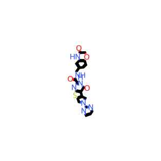 O=C1COc2ccc(CNC(=O)c3nc4sc5c(c4c(=O)[nH]3)CN(c3ncccn3)C5)cc2N1